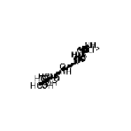 COc1cc(N)c(Cl)cc1C(=O)N[C@@H]1CCN(CCCCCC(=O)NCCCC(=O)NC[C@H](O)[C@@H](O)[C@H](O)[C@H](O)CO)C[C@@H]1OC